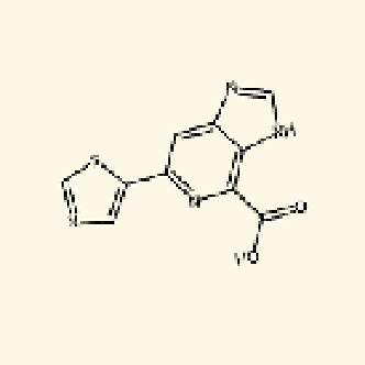 O=C(O)c1nc(-c2cncs2)cc2nc[nH]c12